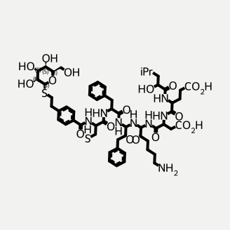 CC(C)CC(O)C(=O)NC(CCC(=O)O)C(=O)NC(CC(=O)O)C(=O)NC(NC(NC(=O)C(Cc1ccccc1)NC(=O)C(CS)NC(=O)c1ccc(CCS[C@@H]2O[C@H](CO)[C@@H](O)[C@H](O)[C@H]2O)cc1)C(=O)Cc1ccccc1)C(=O)CCCCN